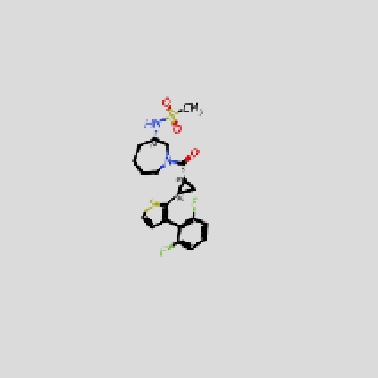 CS(=O)(=O)N[C@H]1CCCCN(C(=O)[C@@H]2C[C@H]2c2sccc2-c2c(F)cccc2F)C1